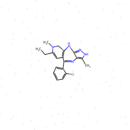 CCC1=CC2=C(CN1C)Nc1n[nH]c(C)c1N=C2c1ccccc1Cl